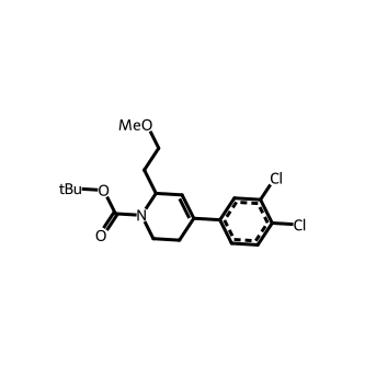 COCCC1C=C(c2ccc(Cl)c(Cl)c2)CCN1C(=O)OC(C)(C)C